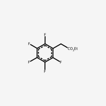 CCOC(=O)Cc1c(F)c(F)c(F)c(F)c1F